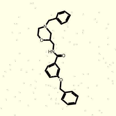 O=C(NCC1CN(Cc2ccccc2)CCO1)c1cccc(OCc2ccccc2)c1